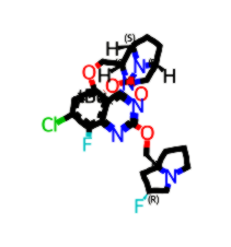 CC(C)(C)OC(=O)N1[C@@H]2CC[C@H]1[C@H]1COc3cc(Cl)c(F)c4nc(OC[C@@]56CCCN5C[C@H](F)C6)nc(c34)N1C2